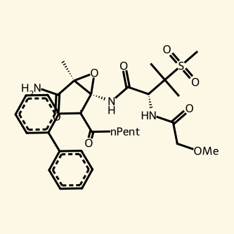 CCCCCC(=O)[C](c1ccccc1-c1ccccc1)[C@]1(NC(=O)[C@@H](NC(=O)COC)C(C)(C)S(C)(=O)=O)O[C@]1(C)C(N)=O